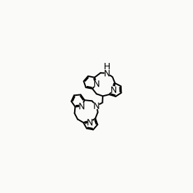 c1cc2nc(c1)CC(CN1Cc3cccc(n3)CCc3cccc(n3)C1)c1cccc(n1)CNC2